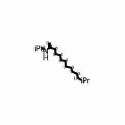 C=C(CCCCCCCCCCC(C)C)NC(C)C